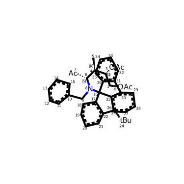 CC(=O)OC[C@@H](OC(C)=O)[C@H](C)[C@@H](C(C)=O)N(Cc1ccccc1)C1(c2ccccc2CC(C)(C)C)c2ccccc2-c2ccccc21